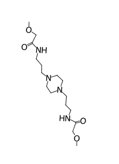 COCC(=O)NCCCN1CCN(CCCNC(=O)COC)CC1